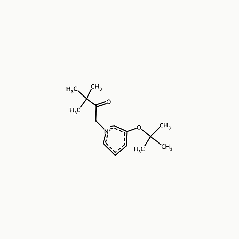 CC(C)(C)Oc1ccc[n+](CC(=O)C(C)(C)C)c1